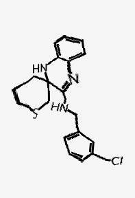 Clc1cccc(CNC2=Nc3ccccc3NC23CCCSC3)c1